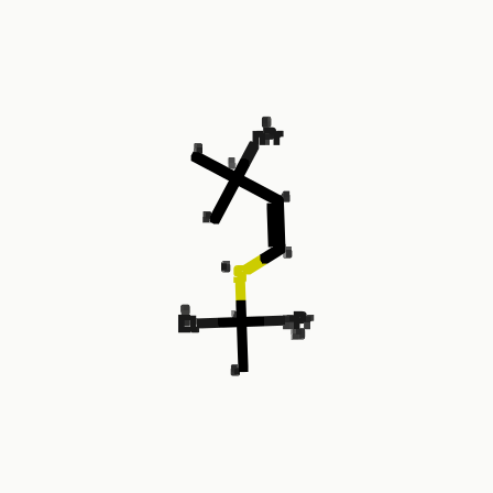 CCCC(C)(C)/C=C\SC(C)(CC)CCC